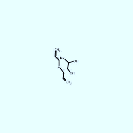 C=CCOCC=C.CCCCCCC(O)CO